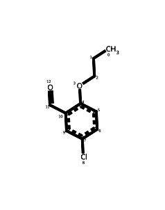 CCCOc1ccc(Cl)cc1C=O